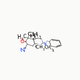 CN(Cc1ccccc1)[C@H]1CC[C@H]2C(C)(C)C(=O)C(C#N)C[C@]2(C)C1